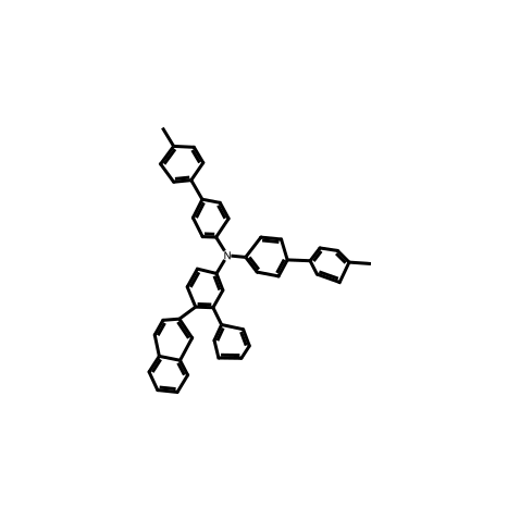 Cc1ccc(-c2ccc(N(c3ccc(-c4ccc(C)cc4)cc3)c3ccc(-c4ccc5ccccc5c4)c(-c4ccccc4)c3)cc2)cc1